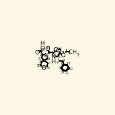 CCOC(=O)[C@H](CCc1ccccc1)NC(C)C(=O)N1CC2(CCOCC2)C[C@H]1C(=O)O